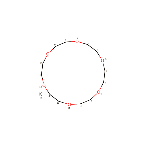 C1COCCOCCOCCOCCOCCO1.[K+]